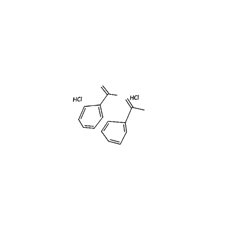 C=C(C)c1ccccc1.C=C(C)c1ccccc1.Cl.Cl